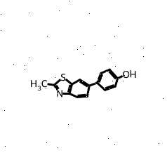 Cc1nc2ccc(-c3ccc(O)cc3)cc2s1